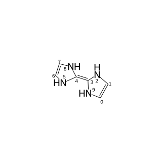 C1=CNC(=C2NC=CN2)N1